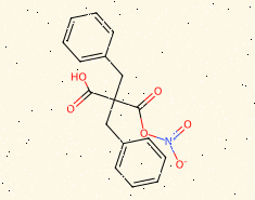 O=C(O)C(Cc1ccccc1)(Cc1ccccc1)C(=O)O[N+](=O)[O-]